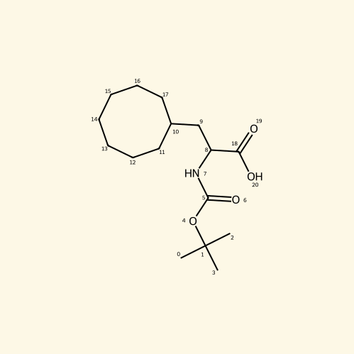 CC(C)(C)OC(=O)NC(CC1CCCCCCC1)C(=O)O